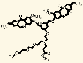 C/C=C1\CC2C=Nc3cc(OCC4C=C(OCCN(CCOCCOCCOC)CCC(=O)OC)C=C(COc5cc6c(cc5OC)C(=O)N5C/C(=C/C)C[C@H]5C=N6)N4)c(OC)cc3C(=O)N2C1